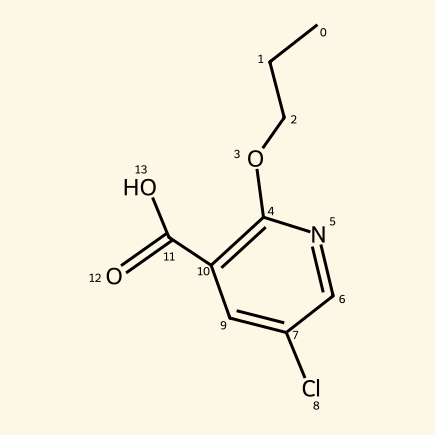 CCCOc1ncc(Cl)cc1C(=O)O